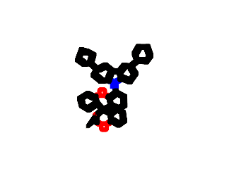 c1ccc(-c2ccc3c(c2)c2cc(-c4ccccc4)ccc2n3-c2cccc3c2Oc2ccccc2C32c3ccccc3Oc3ccccc32)cc1